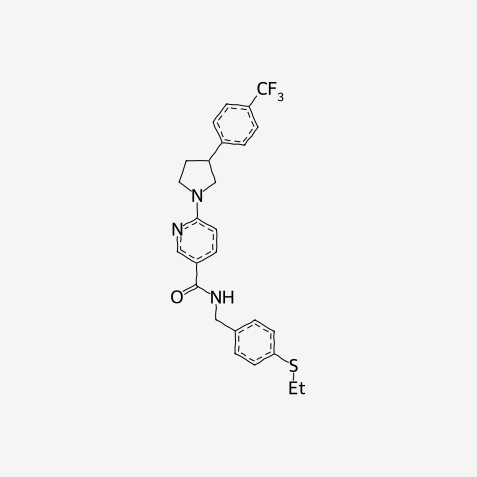 CCSc1ccc(CNC(=O)c2ccc(N3CCC(c4ccc(C(F)(F)F)cc4)C3)nc2)cc1